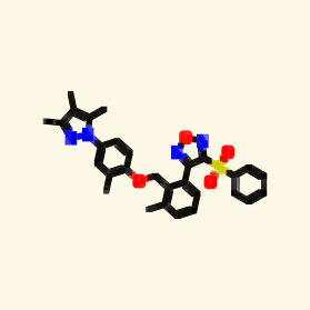 Cc1cc(-n2nc(C)c(C)c2C)ccc1OCc1c(C)cccc1-c1nonc1S(=O)(=O)c1ccccc1